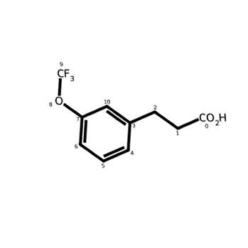 O=C(O)CCc1cccc(OC(F)(F)F)c1